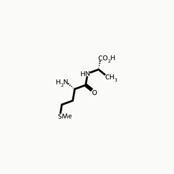 CSCC[C@H](N)C(=O)N[C@@H](C)C(=O)O